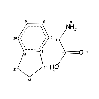 NCC(=O)O.c1ccc2c(c1)CCC2